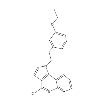 CCOc1cccc(CCn2ccc3c(Cl)nc4ccccc4c32)c1